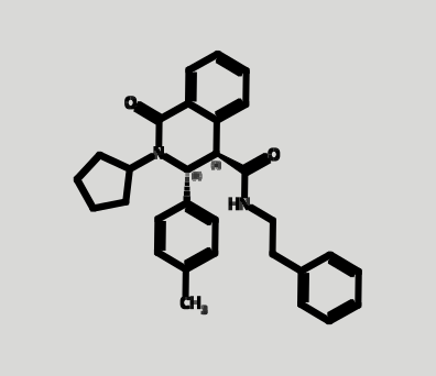 Cc1ccc([C@H]2[C@H](C(=O)NCCc3ccccc3)c3ccccc3C(=O)N2C2CCCC2)cc1